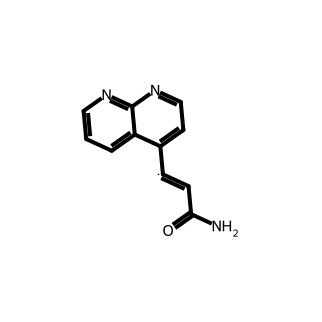 NC(=O)C=[C]c1ccnc2ncccc12